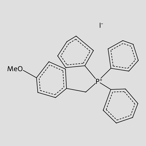 COc1ccc(C[P+](c2ccccc2)(c2ccccc2)c2ccccc2)cc1.[I-]